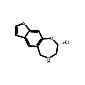 CC[C@@H]1CNCc2cc3ccsc3cc2O1